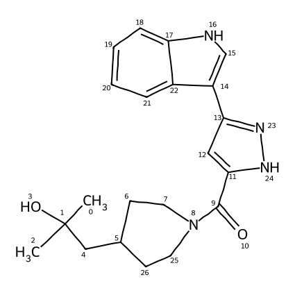 CC(C)(O)CC1CCN(C(=O)c2cc(-c3c[nH]c4ccccc34)n[nH]2)CC1